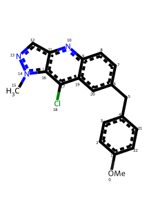 COc1ccc(Cc2ccc3nc4cnn(C)c4c(Cl)c3c2)cc1